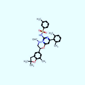 Cc1cccc(S(=O)(=O)Nc2nc(OC(CNC=O)c3cc(C)c4c(c3)CC(C)(C)O4)cc(-c3c(C)cccc3C)n2)c1